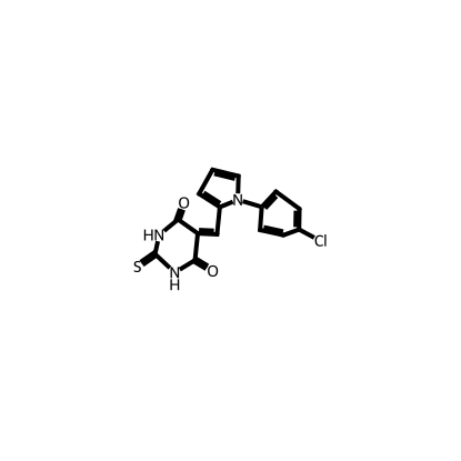 O=C1NC(=S)NC(=O)C1=Cc1cccn1-c1ccc(Cl)cc1